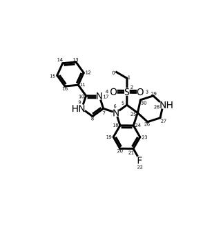 CCS(=O)(=O)C1N(c2c[nH]c(-c3ccccc3)n2)c2ccc(F)cc2C12CCNCC2